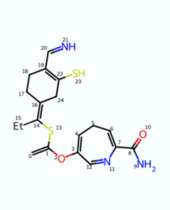 C=C(OC1=CCC=C(C(N)=O)N=C1)S/C(CC)=C1/CCC(C=N)=C(S)C1